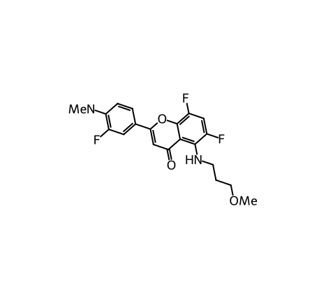 CNc1ccc(-c2cc(=O)c3c(NCCCOC)c(F)cc(F)c3o2)cc1F